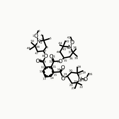 CON1C(C)(C)CC(OC(=O)c2cccc(C(=O)OC3CC(C)(C)N(OC)C(C)(C)C3)c2C(=O)OC2CC(C)(C)N(OC)C(C)(C)C2)CC1(C)C